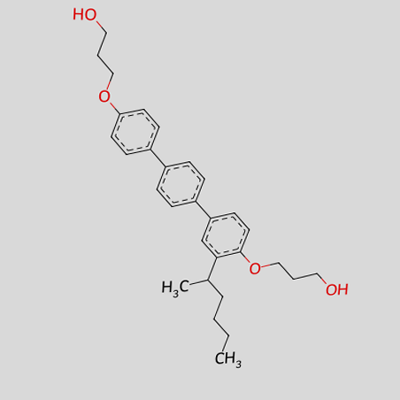 CCCCC(C)c1cc(-c2ccc(-c3ccc(OCCCO)cc3)cc2)ccc1OCCCO